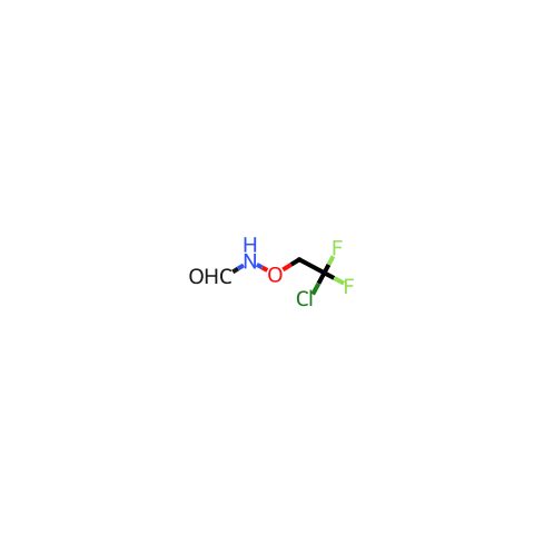 O=CNOCC(F)(F)Cl